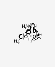 C=CS(=O)(=O)NC1CN(c2ncnc(N)c2-c2ccc(Oc3nccc(C)n3)c(F)c2)C1